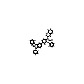 c1ccc(-n2c3ccc(-c4ccc5c(c4)n4c6ccccc6nc4n5-c4cnc5ccccc5n4)cc3n3c4ccccc4nc23)cc1